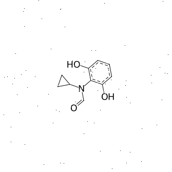 O=CN(c1c(O)cccc1O)C1CC1